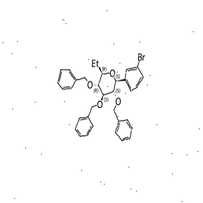 CC[C@H]1O[C@@H](c2cccc(Br)c2)[C@H](OCc2ccccc2)[C@@H](OCc2ccccc2)[C@@H]1OCc1ccccc1